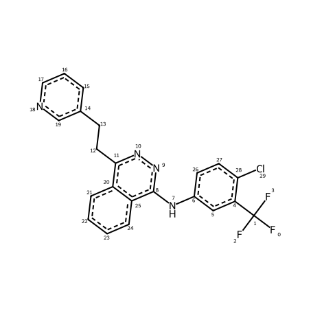 FC(F)(F)c1cc(Nc2nnc(CCc3cccnc3)c3ccccc23)ccc1Cl